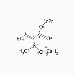 CCC=C(C(=O)OCCC)N(C)C.[CaH2]